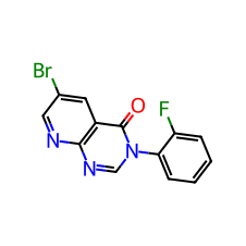 O=c1c2cc(Br)cnc2ncn1-c1ccccc1F